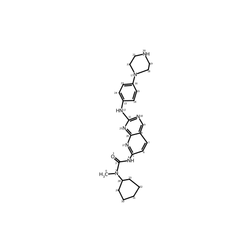 CN(C(=O)Nc1ccc2cnc(Nc3ccc(N4CCNCC4)cc3)nc2n1)C1CCCCC1